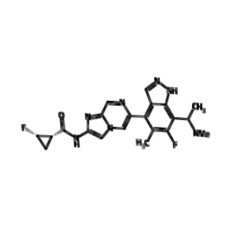 CNC(C)c1c(F)c(C)c(-c2cn3cc(NC(=O)[C@@H]4C[C@@H]4F)nc3cn2)c2cn[nH]c12